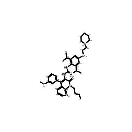 CCCCn1c(=O)c(NC(=O)Nc2c(C(C)C)cc(OCCN3CCCCC3)cc2C(C)C)c(-c2cccc(OC)c2)c2cccnc21